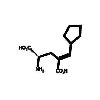 N[C@@H](CC(=CC1CCCC1)C(=O)O)C(=O)O